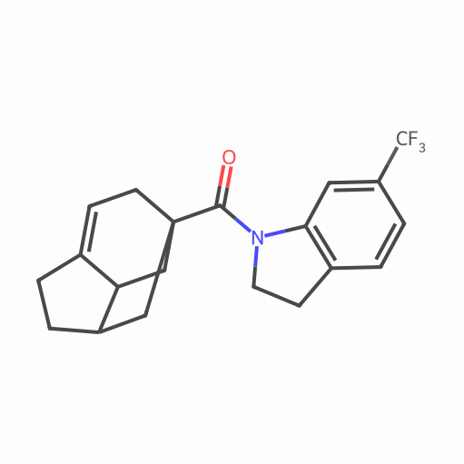 O=C(N1CCc2ccc(C(F)(F)F)cc21)C12CC=C3CCC(C1)C3C2